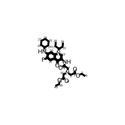 CCOC(=O)CN(CC(=O)Nc1cn(C(CC)CC)c2cc(NC3CCCCC3)c(F)cc2c1=O)CC(=O)OCC